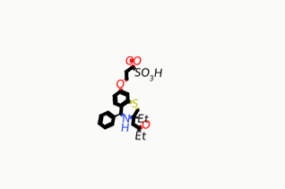 CCC(=O)C[C@@]1(CC)CSc2cc(OCCC3(S(=O)(=O)O)OO3)ccc2[C@H](c2ccccc2)N1